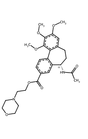 COc1cc2c(c(OC)c1OC)-c1ccc(C(=O)OCCN3CCOCC3)cc1[C@@H](NC(C)=O)CC2